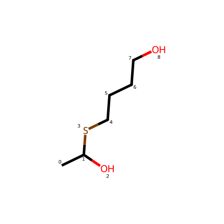 CC(O)SCCCCO